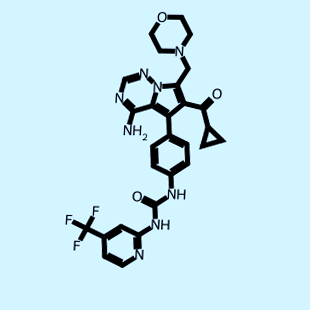 Nc1ncnn2c(CN3CCOCC3)c(C(=O)C3CC3)c(-c3ccc(NC(=O)Nc4cc(C(F)(F)F)ccn4)cc3)c12